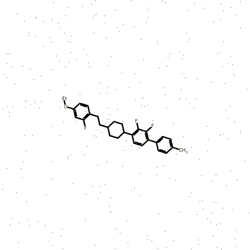 CCOc1ccc(CCC2CCC(c3ccc(-c4ccc(C)cc4)c(F)c3F)CC2)c(F)c1